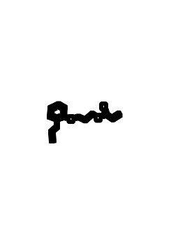 C=CCc1ccccc1OCCCOC(=O)C=C